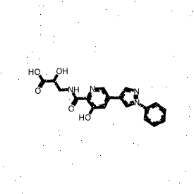 O=C(NCC(O)C(=O)O)c1ncc(-c2cnn(-c3ccccc3)c2)cc1O